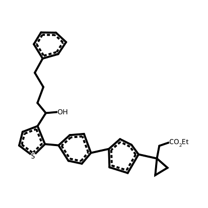 CCOC(=O)CC1(c2ccc(-c3ccc(-c4sccc4C(O)CCCc4ccccc4)cc3)cc2)CC1